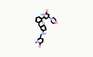 Cn1cc(CNc2ccc3c(c2)Cc2cccc(-c4cc(N5CCOCC5)cc(=O)[nH]4)c2O3)ccc1=O